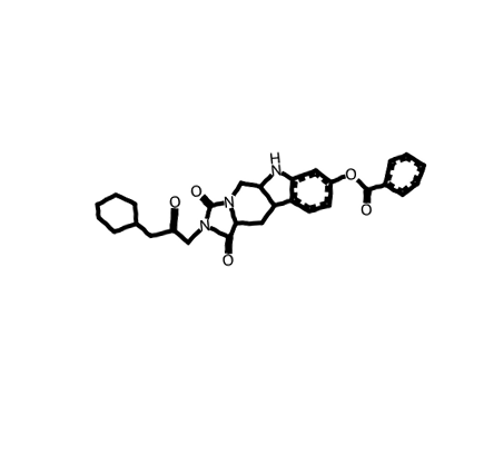 O=C(CC1CCCCC1)CN1C(=O)C2CC3c4ccc(OC(=O)c5ccccc5)cc4NC3CN2C1=O